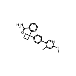 COc1cc(C)c(-c2ccc(C3(c4ccccc4C(N)=O)CCC3)cc2)cn1